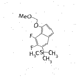 COCOc1cccc2cc([Si](C)(C)C)c(F)c(F)c12